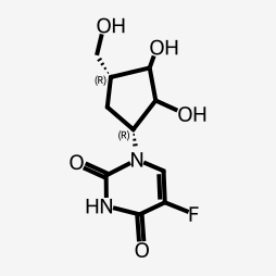 O=c1[nH]c(=O)n([C@@H]2C[C@H](CO)C(O)C2O)cc1F